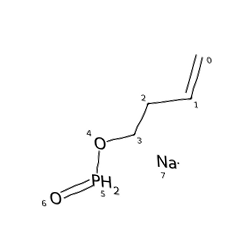 C=CCCO[PH2]=O.[Na]